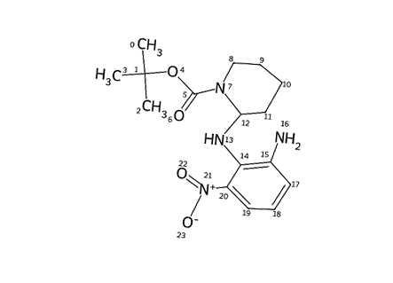 CC(C)(C)OC(=O)N1CCCCC1Nc1c(N)cccc1[N+](=O)[O-]